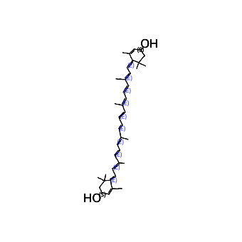 CC1=C[C@@H](O)CC(C)(C)\C1=C/C=C(C)/C=C/C=C(C)/C=C/C=C/C(C)=C/C=C/C(C)=C/C=C1/C(C)=C[C@@H](O)CC1(C)C